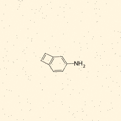 Nc1ccc2c(c1)C=C2